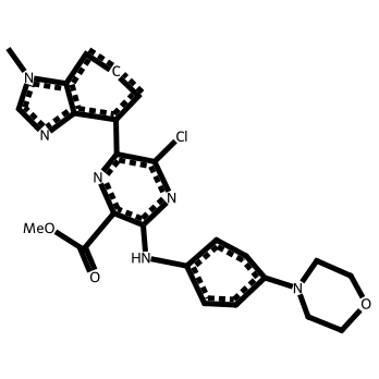 COC(=O)c1nc(-c2cccc3c2ncn3C)c(Cl)nc1Nc1ccc(N2CCOCC2)cc1